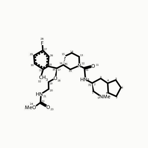 CNC[C@H](CC1CCCC1)NC(=O)N1CCC[C@@H]([C@@H](OCCNC(=O)OC)c2cc(F)ccc2C)C1